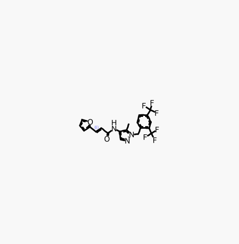 Cc1c(NC(=O)/C=C/c2ccco2)cnn1Cc1ccc(C(F)(F)F)cc1C(F)(F)F